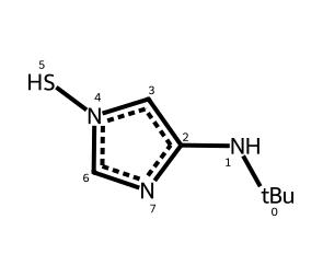 CC(C)(C)Nc1cn(S)cn1